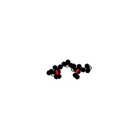 c1ccc(N(c2ccc(-c3ccc4c(c3)oc3c(-c5ccc6c(ccc7c6oc6cccc(-c8ccccc8N(c8ccc(-c9cccc%10ccccc9%10)cc8)c8ccc(-c9cccc%10oc%11ccccc%11c9%10)cc8)c67)c5)cccc34)cc2)c2ccc(-c3cccc4ccccc34)cc2)c(-c2cccc3oc4c5ccccc5ccc4c23)c1